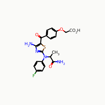 CC(C(N)=O)N(c1ccc(F)cc1)c1nc(N)c(C(=O)c2ccc(OCC(=O)O)cc2)s1